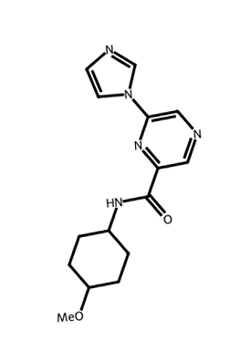 COC1CCC(NC(=O)c2cncc(-n3ccnc3)n2)CC1